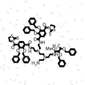 C=C(OCc1ccccc1)/C(OCc1ccccc1)=C(/NCCN(CCN)CCN(CCNC(=O)c1ccc(C(=O)N2CCSC2=S)c(OCc2ccccc2)c1OCc1ccccc1)CCNC(=O)c1ccc(C(=O)N2CCSC2=S)c(OCc2ccccc2)c1OCc1ccccc1)OC